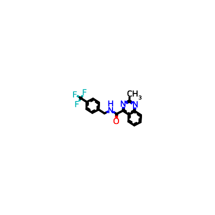 Cc1nc(C(=O)NCc2ccc(C(F)(F)F)cc2)c2ccccc2n1